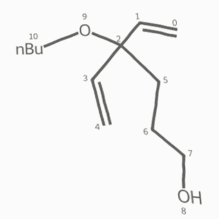 C=CC(C=C)(CCCO)OCCCC